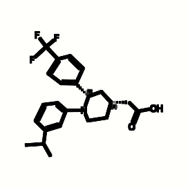 CC(C)c1cccc(N2CC[C@@H](CC(=O)O)C[C@H]2c2ccc(C(F)(F)F)cc2)c1